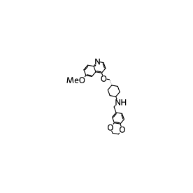 COc1ccc2nccc(OC[C@H]3CC[C@H](NCc4ccc5c(c4)OCCO5)CC3)c2c1